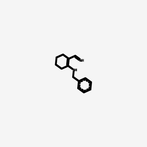 N=CC1=C(NCc2ccccc2)CCCC1